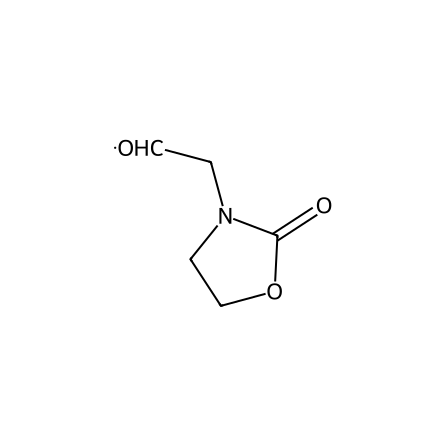 O=[C]CN1CCOC1=O